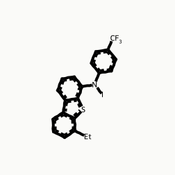 CCc1cccc2c1sc1c(N(I)c3ccc(C(F)(F)F)cc3)cccc12